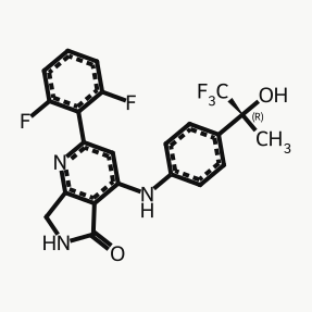 C[C@@](O)(c1ccc(Nc2cc(-c3c(F)cccc3F)nc3c2C(=O)NC3)cc1)C(F)(F)F